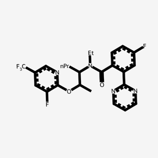 CCCC(C(C)Oc1ncc(C(F)(F)F)cc1F)N(CC)C(=O)c1ccc(F)cc1-c1ncccn1